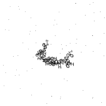 CCC(=O)OCOC(=O)N[C@@H](CC(=O)Nc1ccc(CC(Cc2ccc(NC(=O)C[C@H](NC(=O)OCOC(=O)CC)C(=O)O)cc2)(P(=O)(O)O)P(=O)(O)O)cc1)C(=O)O